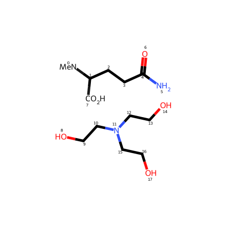 CNC(CCC(N)=O)C(=O)O.OCCN(CCO)CCO